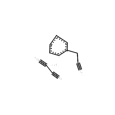 C.N#CC#N.N#CCc1ccccc1